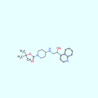 CC(C)(C)OC(=O)N1CCC(NCC(O)c2ccnc3ccccc23)CC1